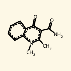 Cc1c(C(N)=O)c(=O)c2ccccc2n1C